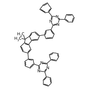 CC1(C)c2ccc(-c3cccc(-c4nc(-c5ccccc5)nc(-c5ccccc5)n4)c3)cc2-c2cc(-c3cccc(-c4nc(-c5ccccc5)nc(-c5ccccc5)n4)c3)ccc21